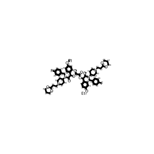 CCOc1ccc(C(OC(=O)C(=O)OC(C(=O)N(Cc2ccc(F)cc2)C2CCN(CCC3OCCCO3)CC2)c2ccc(OCC)cc2)C(=O)N(Cc2ccc(F)cc2)C2CCN(CCC3OCCCO3)CC2)cc1